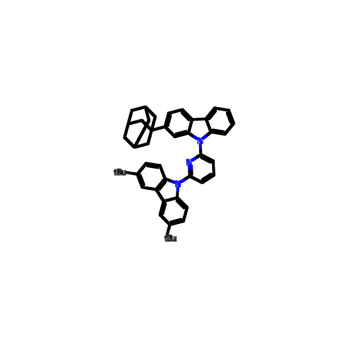 CC(C)(C)c1ccc2c(c1)c1cc(C(C)(C)C)ccc1n2-c1cccc(-n2c3ccccc3c3ccc(C45CC6CC(CC(C6)C4)C5)cc32)n1